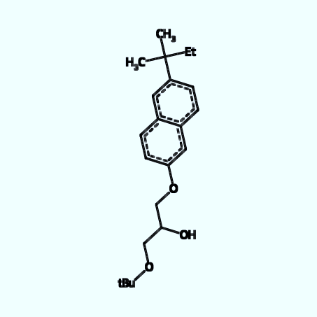 CCC(C)(C)c1ccc2cc(OCC(O)COC(C)(C)C)ccc2c1